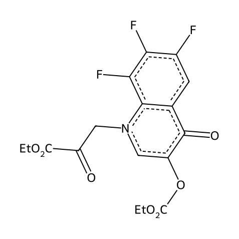 CCOC(=O)Oc1cn(CC(=O)C(=O)OCC)c2c(F)c(F)c(F)cc2c1=O